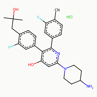 CC(C)(O)Cc1ccc(-c2c(O)cc(N3CCC(N)CC3)nc2-c2ccc(C#N)c(F)c2)cc1F.Cl